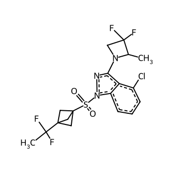 CC1N(c2nn(S(=O)(=O)C34CC(C(C)(F)F)(C3)C4)c3cccc(Cl)c23)CC1(F)F